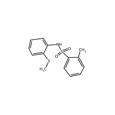 CSc1ccccc1NS(=O)(=O)c1ccccc1C